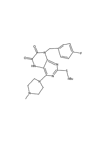 CCCCSc1nc(N2CCN(C)CC2)c2[nH]c(=O)c(=O)n(Cc3ccc(F)cc3)c2n1